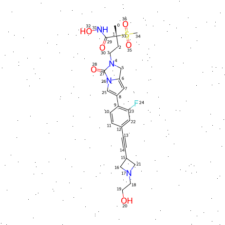 C[C@@](CCN1Cc2cc(-c3ccc(C#CC4CN(CCO)C4)cc3F)cn2C1=O)(C(=O)NO)S(C)(=O)=O